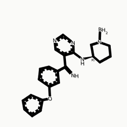 BN1CCC[C@@H](Nc2ncncc2C(=N)c2cccc(Oc3ccccc3)c2)C1